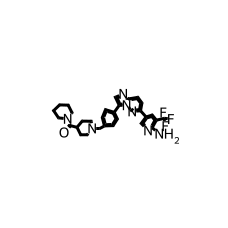 Nc1ncc(-c2ccc3ncc(-c4ccc(CN5CCC(C(=O)N6CCCCC6)CC5)cc4)n3n2)cc1C(F)(F)F